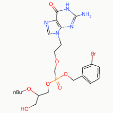 CCCCOC(CO)COP(=O)(COCCn1cnc2c(=O)[nH]c(N)nc21)OCc1cccc(Br)c1